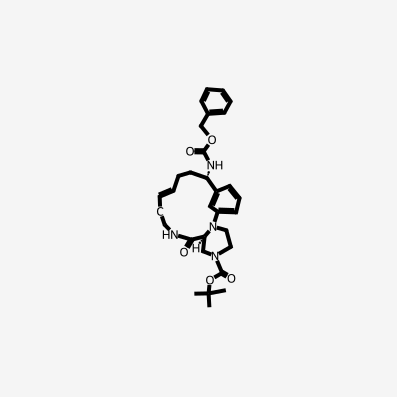 CC(C)(C)OC(=O)N1CCN2c3cccc(c3)[C@@H](NC(=O)OCc3ccccc3)CC/C=C/CCNC(=O)[C@@H]2C1